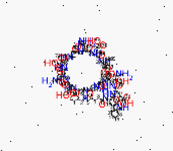 CCCCCCCCCC(=O)NC(Cc1c[nH]c2ccccc12)C(=O)NC(CCC(=O)O)C(=O)NC(C(=O)NC1C(=O)N(C)CC(=O)NC(C)C(=O)NC(CC(=O)O)C(=O)NC(CC(N)=O)C(=O)NC(C(OC)C(=O)O)C(=O)NCC(=O)NC(CC(N)=O)C(=O)NC(C(C)CC(=O)O)C(=O)NC(C(C)CC)C(=O)OC1C)C(O)C(N)=O